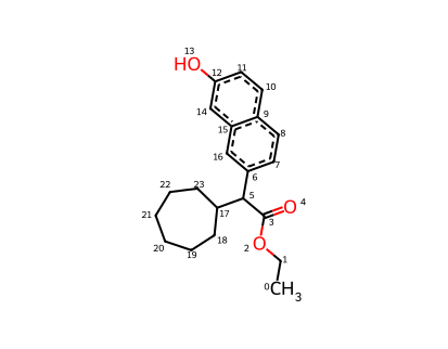 CCOC(=O)C(c1ccc2ccc(O)cc2c1)C1CCCCCC1